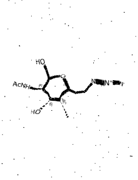 CC(=O)N[C@H]1C(O)OC(CN=[N+]=[N-])[C@H](C)[C@@H]1O